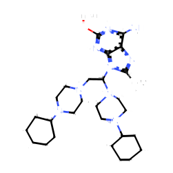 CCCCOc1nc(N)c2nc(OC)n(C(CN3CCN(C4CCCCC4)CC3)N3CCN(C4CCCCC4)CC3)c2n1